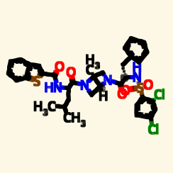 CC(C)CC(NC(=O)c1cc2ccccc2s1)C(=O)N1C[C@H]2N(C(=O)[C@H](Cc3ccccc3)NS(=O)(=O)c3ccc(Cl)cc3Cl)CC21C